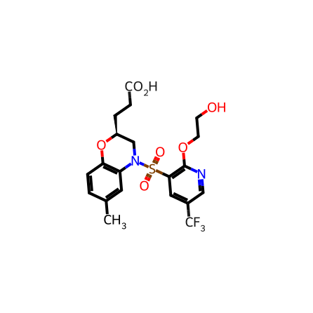 Cc1ccc2c(c1)N(S(=O)(=O)c1cc(C(F)(F)F)cnc1OCCO)C[C@H](CCC(=O)O)O2